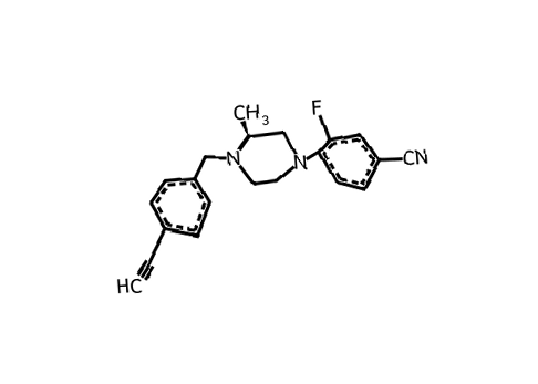 C#Cc1ccc(CN2CCN(c3ccc(C#N)cc3F)C[C@@H]2C)cc1